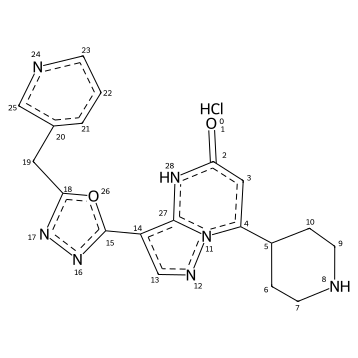 Cl.O=c1cc(C2CCNCC2)n2ncc(-c3nnc(Cc4cccnc4)o3)c2[nH]1